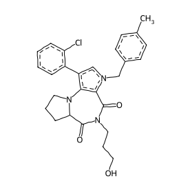 Cc1ccc(Cn2cc(-c3ccccc3Cl)c3c2C(=O)N(CCCO)C(=O)C2CCCN32)cc1